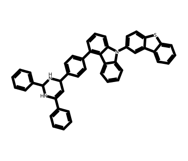 C1=C(c2ccccc2)NC(c2ccccc2)NC1c1ccc(-c2cccc3c2c2ccccc2n3-c2ccc3sc4ccccc4c3c2)cc1